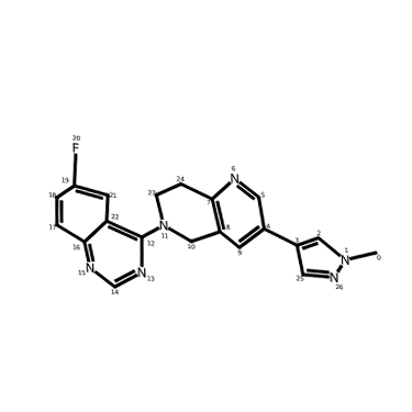 Cn1cc(-c2cnc3c(c2)CN(c2ncnc4ccc(F)cc24)CC3)cn1